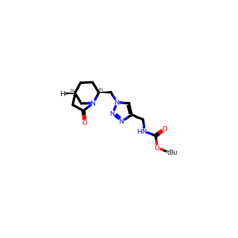 CC(C)(C)OC(=O)NCc1cn(C[C@@H]2CC[C@H]3CC(=O)N2C3)nn1